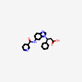 O=C(O)CC(c1ccccc1)n1cnc2ccc(NC(=O)c3cccnc3)cc21